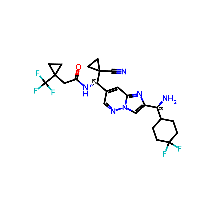 N#CC1([C@@H](NC(=O)CC2(C(F)(F)F)CC2)c2cnn3cc([C@@H](N)C4CCC(F)(F)CC4)nc3c2)CC1